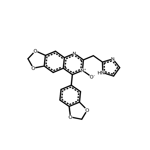 [O-][n+]1c(Cc2ncc[nH]2)nc2cc3c(cc2c1-c1ccc2c(c1)OCO2)OCO3